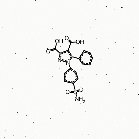 NS(=O)(=O)c1ccc(-n2nc(C(=O)O)c(C(=O)O)c2-c2ccccc2)cc1